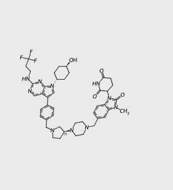 Cn1c(=O)n(C2CCC(=O)NC2=O)c2ccc(CN3CCN([C@H]4CCN(Cc5ccc(-c6cn([C@H]7CC[C@H](O)CC7)c7nc(NCCC(F)(F)F)ncc67)cc5)C4)CC3)cc21